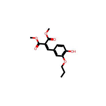 CCCOc1cc(C=C(C(=O)OC)C(=O)OC)ccc1O